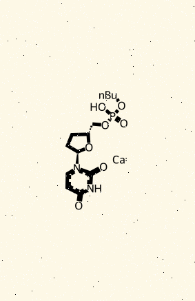 CCCCOP(=O)(O)OC[C@H]1CC[C@H](n2ccc(=O)[nH]c2=O)O1.[Ca]